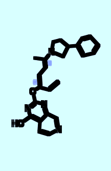 C=C/C(=C\C=C(/C)N1CCC(c2ccccc2)C1)Oc1nc(O)c2ccncc2n1